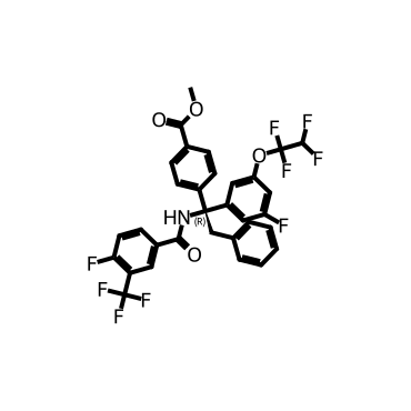 COC(=O)c1ccc([C@@](Cc2ccccc2)(NC(=O)c2ccc(F)c(C(F)(F)F)c2)c2cc(F)cc(OC(F)(F)C(F)F)c2)cc1